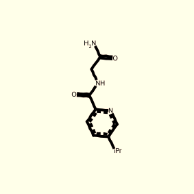 CC(C)c1ccc(C(=O)NCC(N)=O)nc1